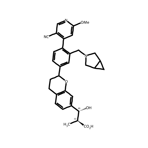 COc1cc(-c2ccc(C3CCc4ccc([C@H](O)[C@H](C)C(=O)O)cc4O3)cc2CN2CC3CC3C2)c(C#N)cn1